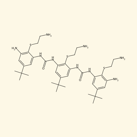 CC(C)(C)c1cc(N)c(SCCN)c(NC(=O)Nc2cc(C(C)(C)C)cc(NC(=O)Nc3cc(C(C)(C)C)cc(N)c3SCCN)c2SCCN)c1